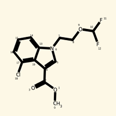 COC(=O)c1cn(CCOC(F)F)c2cccc(Cl)c12